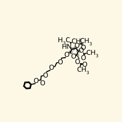 CC(=O)OC[C@H]1O[C@@H](OCCOCCOCCOCC(=O)OCc2ccccc2)[C@H](NC(C)C)[C@@H](OC(C)=O)[C@H]1OC(C)=O